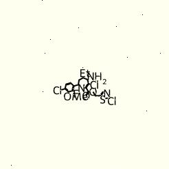 CCC1CC(c2ccc(Cl)c(OC)c2F)=NC(C(=O)OCc2cnc(Cl)s2)=C(Cl)C1N